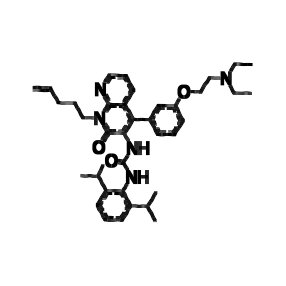 C=CCCCn1c(=O)c(NC(=O)Nc2c(C(C)C)cccc2C(C)C)c(-c2cccc(OCCN(CC)CC)c2)c2cccnc21